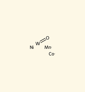 [Co].[Mn].[Ni].[O]=[W]